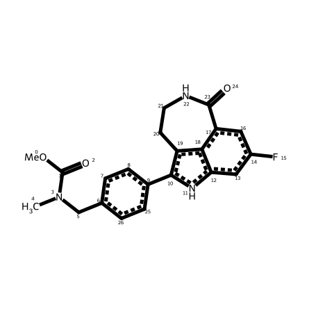 COC(=O)N(C)Cc1ccc(-c2[nH]c3cc(F)cc4c3c2CCNC4=O)cc1